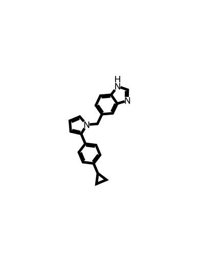 c1cc(-c2ccc(C3CC3)cc2)n(Cc2ccc3[nH]cnc3c2)c1